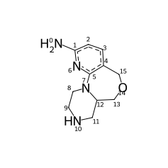 Nc1ccc2c(n1)N1CCNCC1COC2